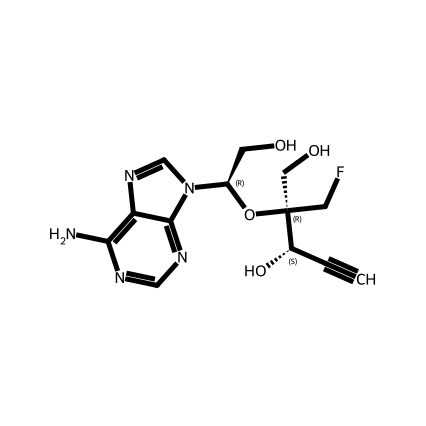 C#C[C@H](O)[C@](CO)(CF)O[C@H](CO)n1cnc2c(N)ncnc21